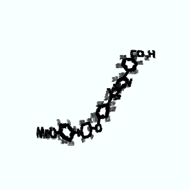 COc1ccc(N2CCC(Oc3ccc(-c4nn5cc(-c6ccc(C(=O)O)cc6)nc5s4)cc3)CC2)cc1